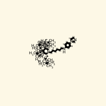 CC(C)(C)[Si](C)(C)OC[C@@H]1C(O[Si](C)(C)C(C)(C)C)C(O[Si](C)(C)C(C)(C)C)C(O[Si](C)(C)C(C)(C)C)CN1CCCCCCNc1ccc(-n2ccnc2)cc1